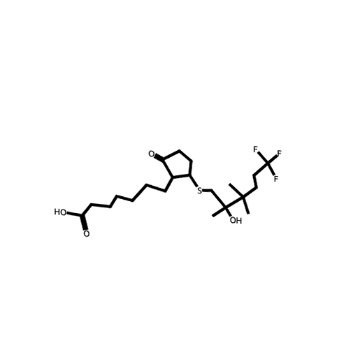 CC(C)(CCC(F)(F)F)C(C)(O)CSC1CCC(=O)C1CCCCCCC(=O)O